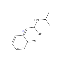 C=c1cccc/c1=C/C(O)NC(C)C